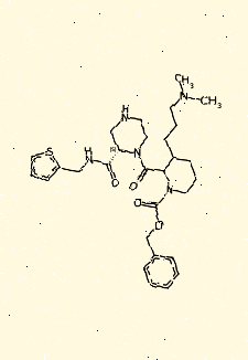 CN(C)CCCC1CCCN(C(=O)OCc2ccccc2)C1C(=O)N1CCNC[C@H]1C(=O)NCc1cccs1